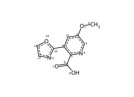 COc1cnc(C(=O)O)c(-c2ncco2)c1